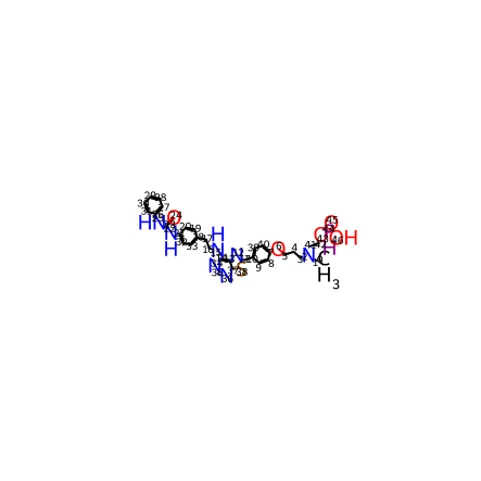 CCN(CCCOc1ccc(-c2nc3c(NCCc4ccc(NC(=O)Nc5ccccc5)cc4)ncnc3s2)cc1)CCO[PH](=O)O